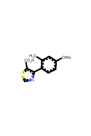 COc1ccc(-c2ncsc2C(=O)O)c(C)c1